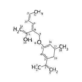 C=C(C)C1=CC(OC/C(=C/C=C\C)C(=C)O)=CC(C)C1